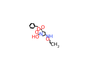 C=CCON[C@H]1C[C@H](C(=O)OCc2ccccc2)N(C(=O)O)C1